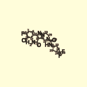 NC(=O)c1c(-c2ccc(F)c(Cl)c2)nn2c1CN(C(=O)NC1CC3C(C1)C3(F)F)CC2